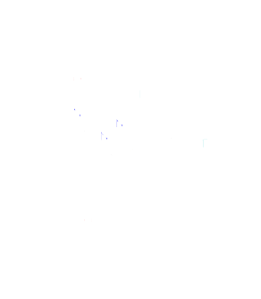 O=CN1OCCC1N1N=C(c2cc(F)ccc2F)SC1(CCCO)c1ccccc1